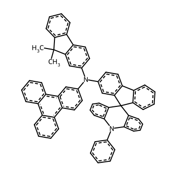 CC1(C)c2ccccc2-c2ccc(N(c3ccc4c(c3)C3(c5ccccc5-4)c4ccccc4N(c4ccccc4)c4ccccc43)c3ccc4c5ccccc5c5ccccc5c4c3)cc21